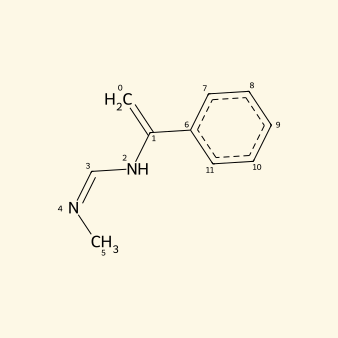 C=C(N/C=N\C)c1ccccc1